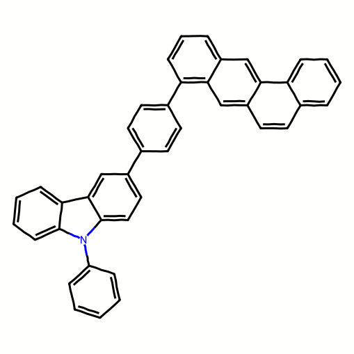 c1ccc(-n2c3ccccc3c3cc(-c4ccc(-c5cccc6cc7c(ccc8ccccc87)cc56)cc4)ccc32)cc1